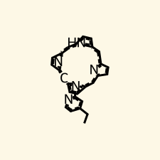 CCc1ccnc(-n2c3ccc2cc2nc(cc4ccc(cc5nc(c3)C=C5)[nH]4)C=C2)c1